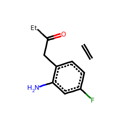 C=C.CCC(=O)Cc1ccc(F)cc1N